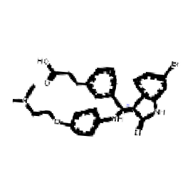 CN(C)CCOc1ccc(N/C(=C2\C(=O)Nc3cc(Br)ccc32)c2cccc(CCC(=O)O)c2)cc1